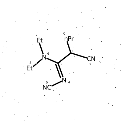 CCCC(C#N)/C(=N/C#N)N(CC)CC